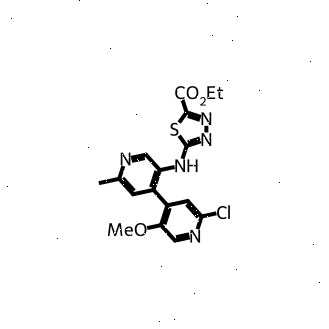 CCOC(=O)c1nnc(Nc2cnc(C)cc2-c2cc(Cl)ncc2OC)s1